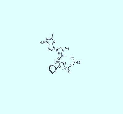 CCC(CC)COC(=O)[C@H](C)NP(=O)(OC[C@@]1(C)O[C@@H](n2cnc3c(N)nc(F)nc32)C[C@@H]1O)Oc1ccccc1